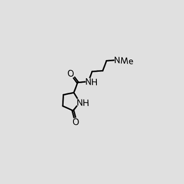 CNCCCNC(=O)C1CCC(=O)N1